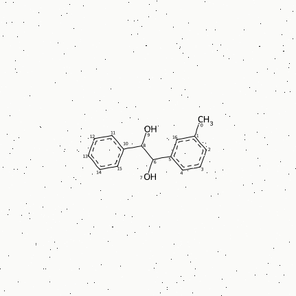 Cc1cccc(C(O)C(O)c2ccccc2)c1